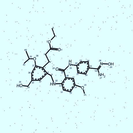 CCOC(=O)CCc1c(CNc2ccc(OC)cc2C(=O)Nc2ccc(/C(N)=N/O)cc2)cc(CO)cc1OC(C)C